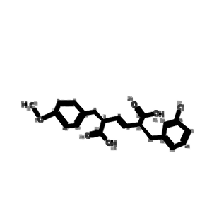 COc1ccc(C[C@@H](C=C[C@H](Cc2cccc(Cl)c2)C(=O)O)C(=O)O)cc1